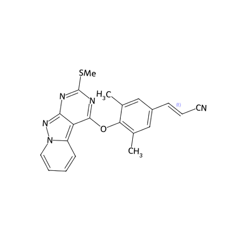 CSc1nc(Oc2c(C)cc(/C=C/C#N)cc2C)c2c(n1)nn1ccccc21